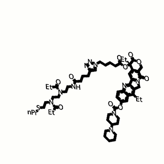 CCCSCCN(CCN(CCNC(=O)CCCc1cn(CCCCC(=O)O[C@]2(CC)C(=O)OCc3c2cc2n(c3=O)Cc3c-2nc2ccc(OC(=O)N4CCC(N5CCCCC5)CC4)cc2c3CC)nn1)C(=O)CC)C(=O)CC